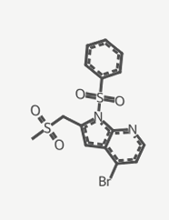 CS(=O)(=O)Cc1cc2c(Br)ccnc2n1S(=O)(=O)c1ccccc1